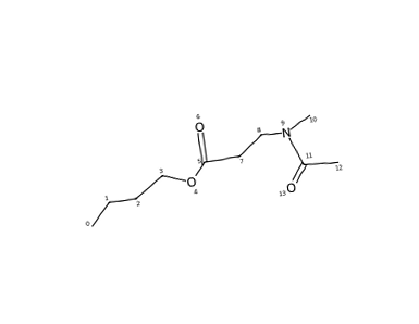 CCCCOC(=O)CCN(C)C(C)=O